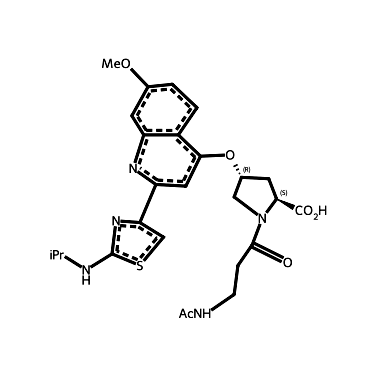 COc1ccc2c(O[C@@H]3C[C@@H](C(=O)O)N(C(=O)CCNC(C)=O)C3)cc(-c3csc(NC(C)C)n3)nc2c1